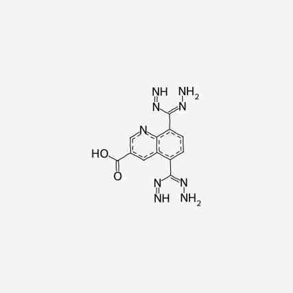 N=NC(=NN)c1ccc(C(N=N)=NN)c2ncc(C(=O)O)cc12